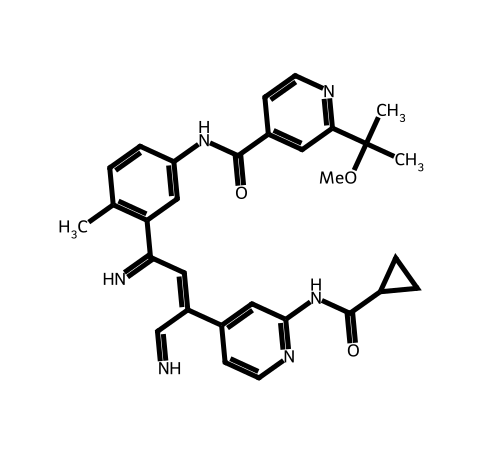 COC(C)(C)c1cc(C(=O)Nc2ccc(C)c(C(=N)/C=C(\C=N)c3ccnc(NC(=O)C4CC4)c3)c2)ccn1